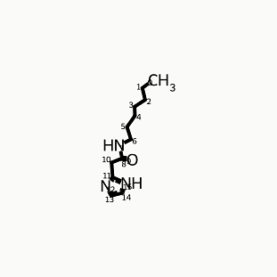 CCCCCCCNC(=O)Cc1ncc[nH]1